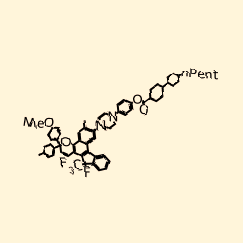 CCCCCC1CCC(C2CCC(C(=O)Oc3ccc(N4CCN(c5cc6c7c(c8c(c6cc5C)OC(c5ccc(C)cc5)(c5ccc(OC)cc5)C=C8)C(F)(C(F)(F)F)c5ccccc5-7)CC4)cc3)CC2)CC1